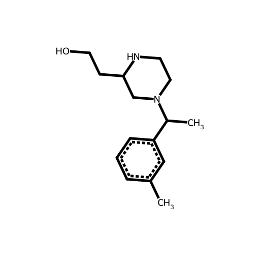 Cc1cccc(C(C)N2CCNC(CCO)C2)c1